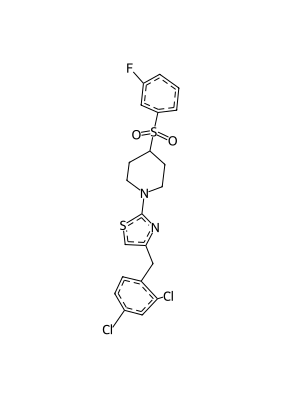 O=S(=O)(c1cccc(F)c1)C1CCN(c2nc(Cc3ccc(Cl)cc3Cl)cs2)CC1